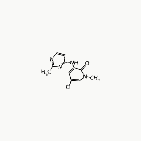 Cc1nccc(Nc2cc(Cl)cn(C)c2=O)n1